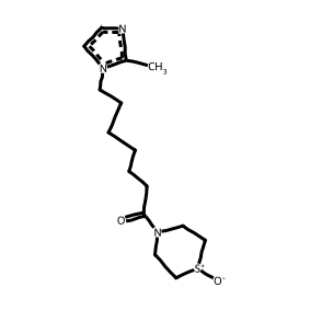 Cc1n[c]cn1CCCCCCC(=O)N1CC[S+]([O-])CC1